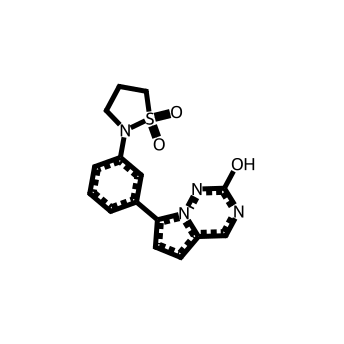 O=S1(=O)CCCN1c1cccc(-c2ccc3cnc(O)nn23)c1